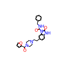 O=C(c1ccco1)N1CCN(CCc2ccc3[nH]c(=O)n(C(=O)NCc4ccccc4)c3c2)CC1